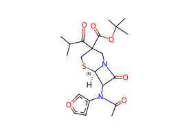 CC(=O)N(c1ccoc1)C1C(=O)N2CC(C(=O)OC(C)(C)C)(C(=O)C(C)C)CS[C@H]12